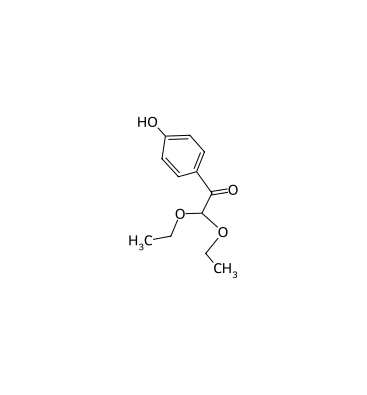 CCOC(OCC)C(=O)c1ccc(O)cc1